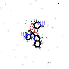 c1ccc2nc(C3(c4ccn[nH]4)COC4(CCNCC4)O3)ccc2c1